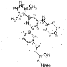 CNCC(O)COc1cccc(-c2nc(NC3CCOCC3)cc(-c3c(C)n[nH]c3C)n2)c1